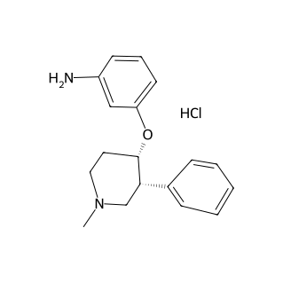 CN1CC[C@H](Oc2cccc(N)c2)[C@H](c2ccccc2)C1.Cl